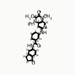 CC(C)N1c2cc(Nc3cccc(C(=O)Nc4ccc5c(c4)CCC5=O)c3)ncc2N(C)C(=O)C1C